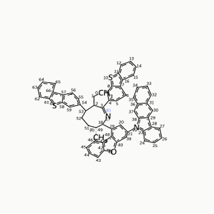 CCC1/C(c2ccc3c(c2)sc2ccccc23)=N\C(c2cc(-n3c4ccccc4c4cc5ccccc5cc43)cc3oc4ccccc4c23)[C@H](C)CCC1c1ccc2c(c1)sc1ccccc12